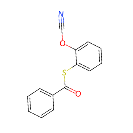 N#COc1ccccc1SC(=O)c1ccccc1